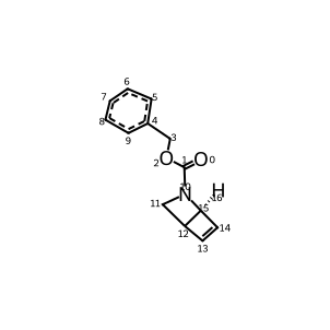 O=C(OCc1ccccc1)N1CC2C=C[C@@H]21